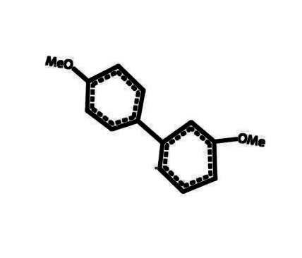 COc1ccc(-c2[c]ccc(OC)c2)cc1